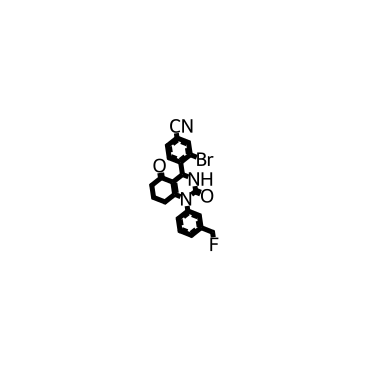 N#Cc1ccc(C2NC(=O)N(c3cccc(CF)c3)C3=C2C(=O)CCC3)c(Br)c1